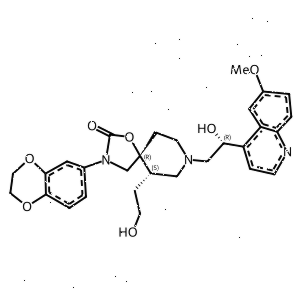 COc1ccc2nccc([C@@H](O)CN3CC[C@]4(CN(c5ccc6c(c5)OCCO6)C(=O)O4)[C@@H](CCO)C3)c2c1